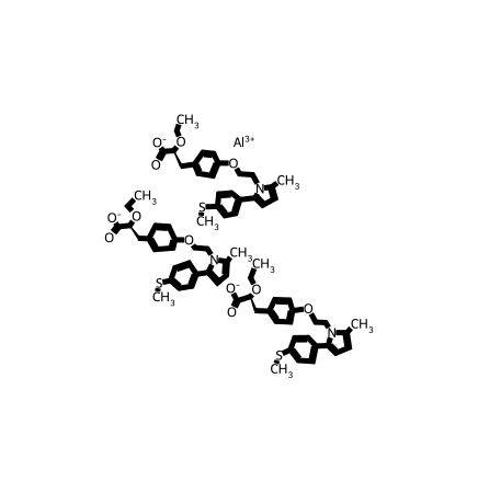 CCO[C@@H](Cc1ccc(OCCn2c(C)ccc2-c2ccc(SC)cc2)cc1)C(=O)[O-].CCO[C@@H](Cc1ccc(OCCn2c(C)ccc2-c2ccc(SC)cc2)cc1)C(=O)[O-].CCO[C@@H](Cc1ccc(OCCn2c(C)ccc2-c2ccc(SC)cc2)cc1)C(=O)[O-].[Al+3]